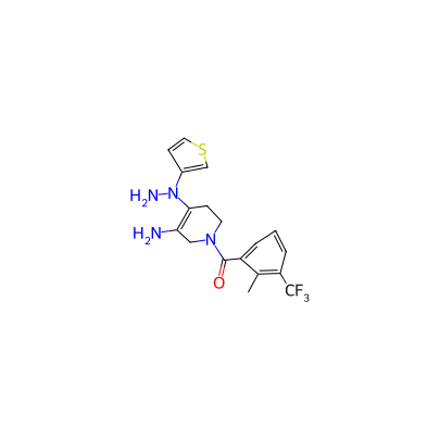 Cc1c(C(=O)N2CCC(N(N)c3ccsc3)=C(N)C2)cccc1C(F)(F)F